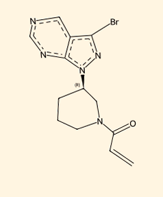 C=CC(=O)N1CCC[C@@H](n2nc(Br)c3cncnc32)C1